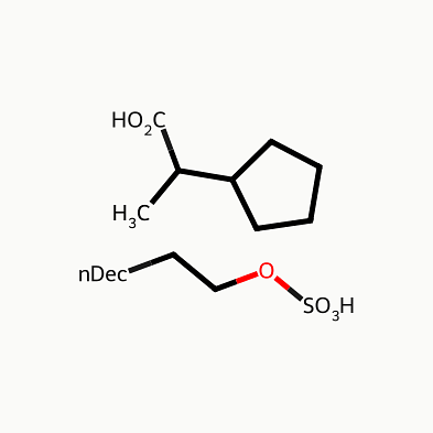 CC(C(=O)O)C1CCCC1.CCCCCCCCCCCCOS(=O)(=O)O